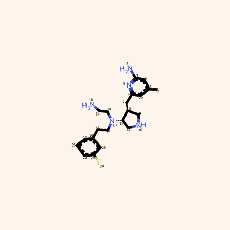 Cc1cc(N)nc(C[C@H]2CNC[C@@H]2N(CCN)CCc2cccc(F)c2)c1